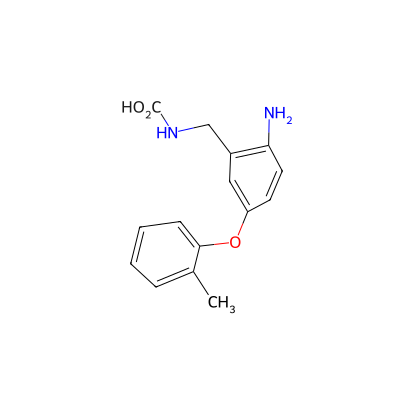 Cc1ccccc1Oc1ccc(N)c(CNC(=O)O)c1